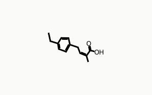 CCc1ccc(CC=C(C)C(=O)O)cc1